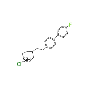 Fc1ccc(-c2ccc(CCC3CC[SiH](Cl)CC3)cc2)cc1